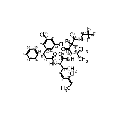 C=C(/C=C\C(Cl)=C/C)[C@H](NC(=O)CC(c1ccccc1)c1cc(Cl)cc(Cl)c1)C(=O)N[C@H](C(=O)C(F)(F)C(=O)NCC(F)(F)F)C(C)C